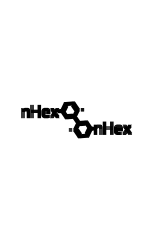 CCCCCCc1cc[c]c(-c2[c]ccc(CCCCCC)c2)c1